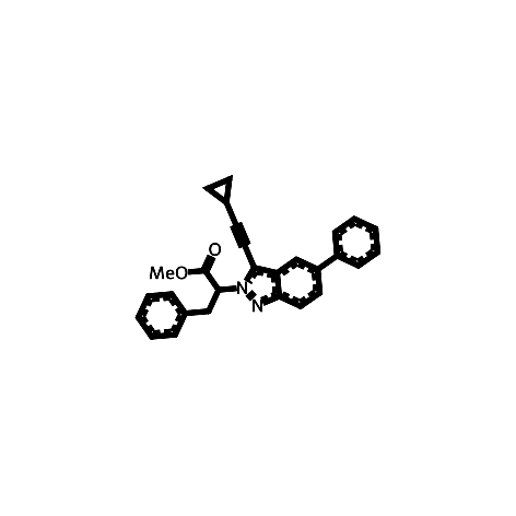 COC(=O)C(Cc1ccccc1)n1nc2ccc(-c3ccccc3)cc2c1C#CC1CC1